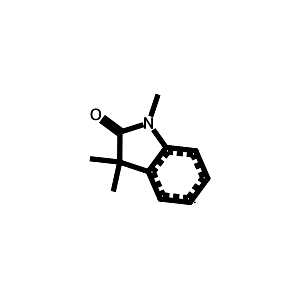 CN1C(=O)C(C)(C)c2c[c]ccc21